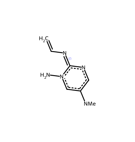 C=C/N=c1/ncc(NC)cn1N